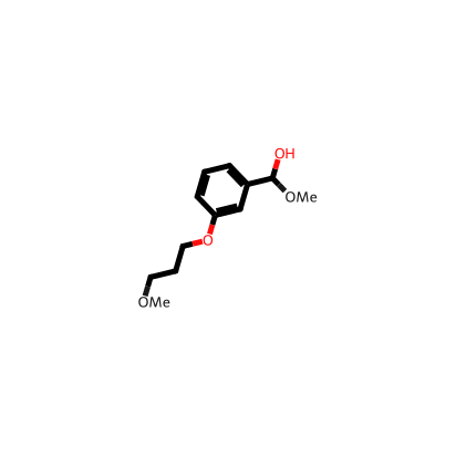 COCCCOc1cccc(C(O)OC)c1